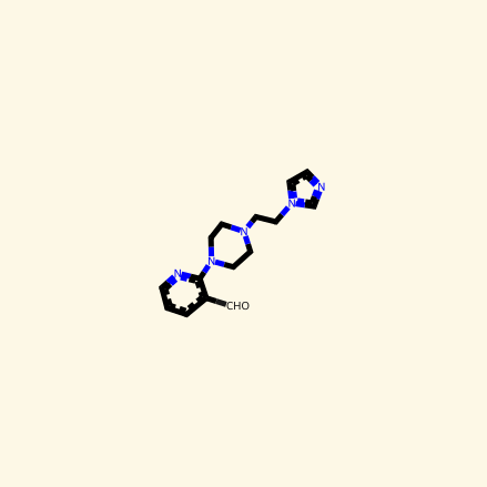 O=Cc1cccnc1N1CCN(CCn2ccnc2)CC1